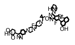 CCc1cccc2cc(O)cc(-c3ncc4c(N5CC6CCC(C5)N6)nc(OCC5(CN6CCC(F)(CN7CCN(c8ccc9c(C%10CCC(=O)NC%10=O)nn(C)c9c8)CC7)CC6)CC5)nc4c3F)c12